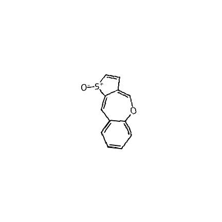 [O-][s+]1ccc2c1=Cc1ccccc1OC=2